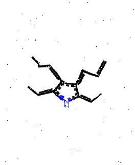 C=C/C=c1/c(=C/CC)/c(=C\C)[nH]/c1=C/C